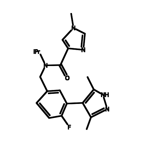 Cc1n[nH]c(C)c1-c1cc(CN(C(=O)c2cn(C)cn2)C(C)C)ccc1F